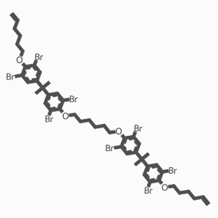 C=CCCCCOc1c(Br)cc(C(C)(C)c2cc(Br)c(OCCCCCCOc3c(Br)cc(C(C)(C)c4cc(Br)c(OCCCCC=C)c(Br)c4)cc3Br)c(Br)c2)cc1Br